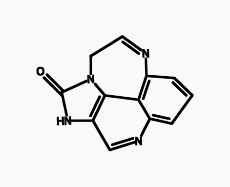 O=c1[nH]c2cnc3cccc4c3c2n1CC=N4